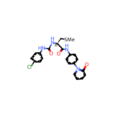 CSC[C@H](NC(=O)Nc1ccc(Cl)cc1)C(=O)Nc1ccc(-n2ccccc2=O)cc1